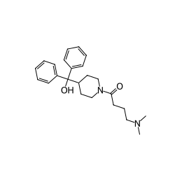 CN(C)CCCC(=O)N1CCC(C(O)(c2ccccc2)c2ccccc2)CC1